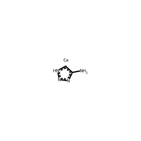 Nc1c[nH]nn1.[Ce]